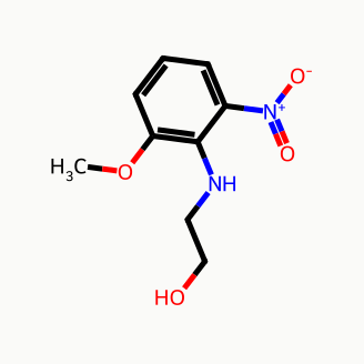 COc1cccc([N+](=O)[O-])c1NCCO